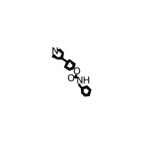 O=C(NCc1ccccc1)Oc1ccc(-c2ccncc2)cc1